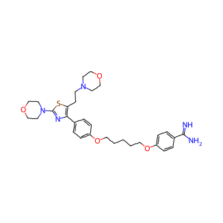 N=C(N)c1ccc(OCCCCCOc2ccc(-c3nc(N4CCOCC4)sc3CCN3CCOCC3)cc2)cc1